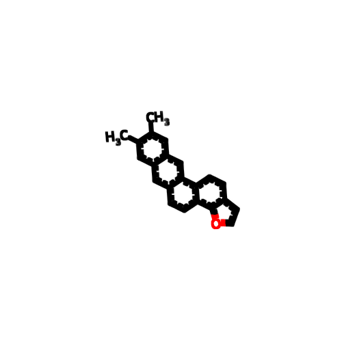 Cc1cc2cc3ccc4c(ccc5ccoc54)c3cc2cc1C